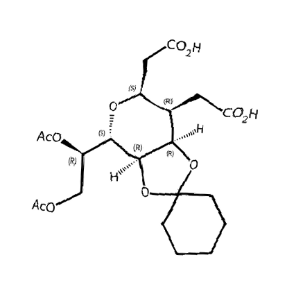 CC(=O)OC[C@@H](OC(C)=O)[C@@H]1O[C@@H](CC(=O)O)[C@@H](CC(=O)O)[C@H]2OC3(CCCCC3)O[C@H]21